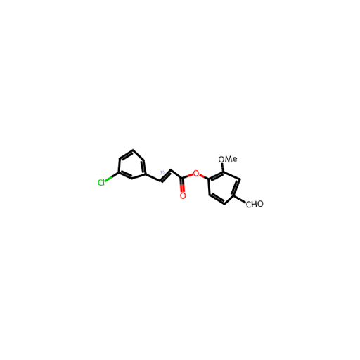 COc1cc(C=O)ccc1OC(=O)/C=C/c1cccc(Cl)c1